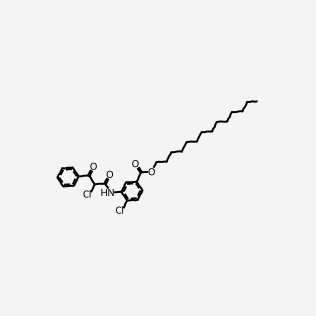 CCCCCCCCCCCCCCOC(=O)c1ccc(Cl)c(NC(=O)C(Cl)C(=O)c2ccccc2)c1